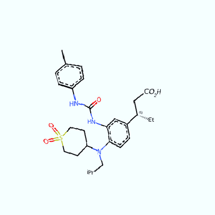 CC[C@@H](CC(=O)O)c1ccc(N(CC(C)C)C2CCS(=O)(=O)CC2)c(NC(=O)Nc2ccc(C)cc2)c1